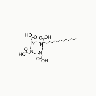 CCCCCCCCCCCCC(C(=O)O)N1CCN(CC(=O)O)CCN(CC(=O)O)CCN(CC(=O)O)CC1